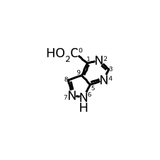 O=C(O)c1ncnc2[nH]ncc12